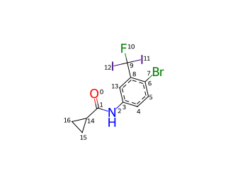 O=C(Nc1ccc(Br)c(C(F)(I)I)c1)C1CC1